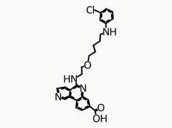 O=C(O)c1ccc2c(c1)nc(NCCOCCCCCNc1cccc(Cl)c1)c1ccncc12